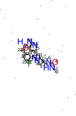 CCNC(=O)N1CC[C@@]2(CCn3nc(-c4cnc(N)c(OC(C)c5ccc(F)cc5)c4)cc32)C1